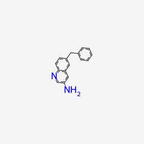 Nc1cnc2ccc(Cc3ccccc3)cc2c1